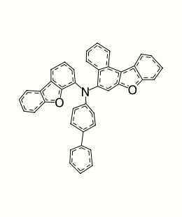 c1ccc(-c2ccc(N(c3cc4oc5ccccc5c4c4ccccc34)c3cccc4c3oc3ccccc34)cc2)cc1